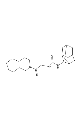 O=C(CNC(=S)NC1C2CC3CC(C2)CC1C3)N1CCC2CCCCC2C1